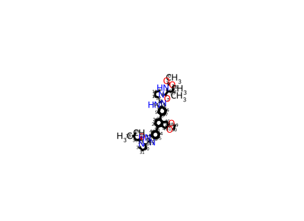 COC(=O)N[C@H](C(=O)N1CCC[C@H]1c1nc2ccc(-c3ccc(-c4ccc5nc([C@@H]6CCCN6C(=O)CC(C)C)[nH]c5c4)c4c3CC3(C4)OCCO3)cc2[nH]1)C(C)C